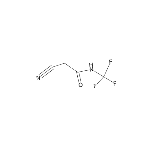 N#CCC(=O)NC(F)(F)F